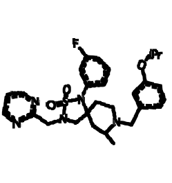 CC(C)Oc1cccc(CN2CCC3(CC2C)CN(Cc2ncccn2)S(=O)(=O)N3c2cccc(F)c2)c1